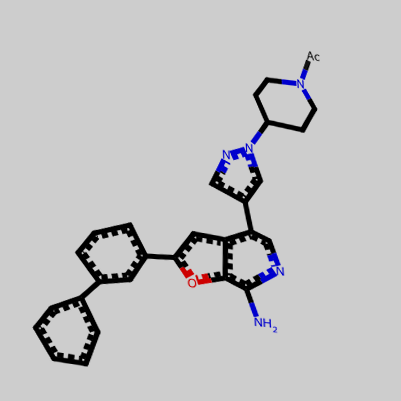 CC(=O)N1CCC(n2cc(-c3cnc(N)c4oc(-c5cccc(-c6ccccc6)c5)cc34)cn2)CC1